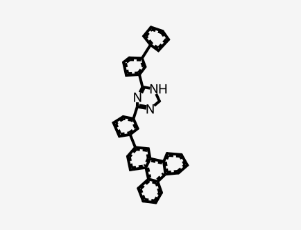 c1ccc(-c2cccc(C3=NC(c4cccc(-c5ccc6c7ccccc7c7ccccc7c6c5)c4)=NCN3)c2)cc1